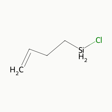 C=CCC[SiH2]Cl